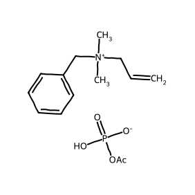 C=CC[N+](C)(C)Cc1ccccc1.CC(=O)OP(=O)([O-])O